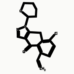 C=Cc1ccc(Cl)c2c1C(=O)c1cnn(C3CCCCO3)c1C2